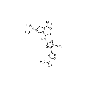 Cc1nc(NC(=O)N2C[C@@H](N(C)C)C[C@H]2C(N)=O)sc1-c1csc(C2(C)CC2)n1